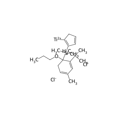 CCCOC1([Si](C)(C)C2=[C]([Ti+2])CC=C2)CC=C(C)C=C1C(C)(C)C.[Cl-].[Cl-]